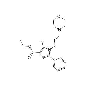 CCOC(=O)c1nc(-c2ccccc2)n(CCCN2CCOCC2)c1C